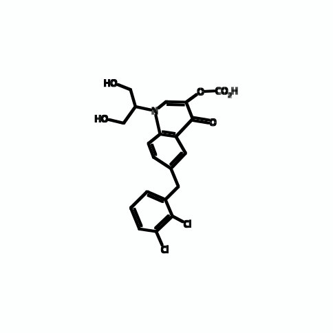 O=C(O)Oc1cn(C(CO)CO)c2ccc(Cc3cccc(Cl)c3Cl)cc2c1=O